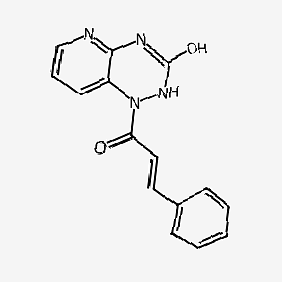 O=C(C=Cc1ccccc1)N1NC(O)=Nc2ncccc21